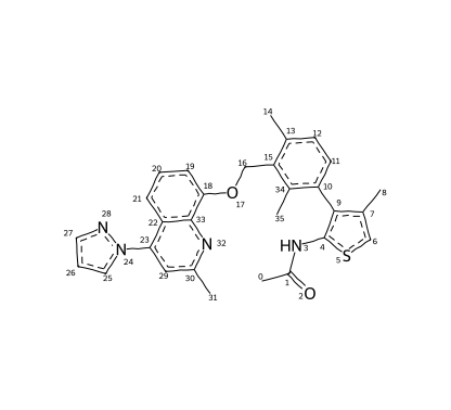 CC(=O)Nc1scc(C)c1-c1ccc(C)c(COc2cccc3c(-n4cccn4)cc(C)nc23)c1C